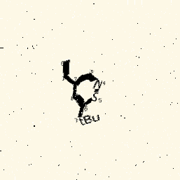 C=CC1=C=NSC(C(C)(C)C)=C1